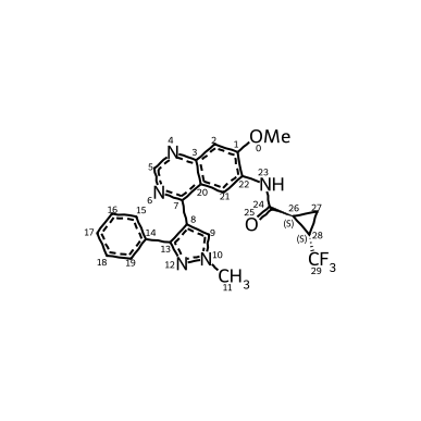 COc1cc2ncnc(-c3cn(C)nc3-c3ccccc3)c2cc1NC(=O)[C@H]1C[C@@H]1C(F)(F)F